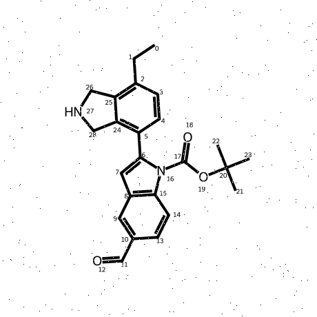 CCc1ccc(-c2cc3cc(C=O)ccc3n2C(=O)OC(C)(C)C)c2c1CNC2